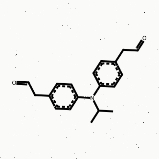 CC(C)N(c1ccc(CC=O)cc1)c1ccc(CC=O)cc1